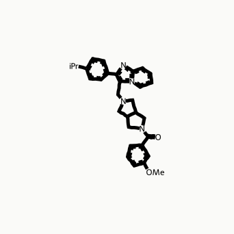 COc1cccc(C(=O)N2CC3CN(Cc4c(-c5ccc(C(C)C)cc5)nc5ccccn45)CC3C2)c1